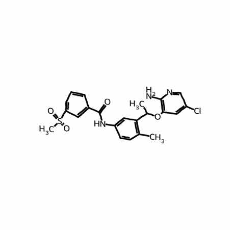 Cc1ccc(NC(=O)c2cccc(S(C)(=O)=O)c2)cc1C(C)Oc1cc(Cl)cnc1N